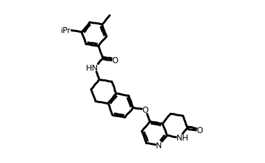 Cc1cc(C(=O)NC2CCc3ccc(Oc4ccnc5c4CCC(=O)N5)cc3C2)cc(C(C)C)c1